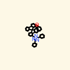 c1ccc(-c2nc(-c3ccccc3)nc(-c3cccc4c3-c3ccccc3C43c4ccccc4-c4ccc5oc6ccccc6c5c43)n2)cc1